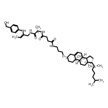 CC=C(CNC(=O)[C@H](C)NC(=O)CCC(=O)NCCCO[C@H]1CC[C@@]2(C)C(=CC[C@H]3C4CC[C@H]([C@H](C)CCCC(C)C)[C@@]4(C)CC[C@@H]32)C1)Nc1ccc(CO)cc1